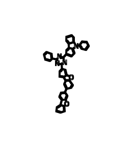 c1ccc(-c2nc(-c3ccc4c(c3)oc3ccc(-c5ccc6c(c5)oc5ccccc56)cc34)nc(-c3ccc4c(c3)c3ccccc3n4-c3ccccc3)n2)cc1